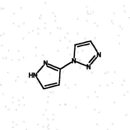 c1cn(-c2cc[nH]n2)nn1